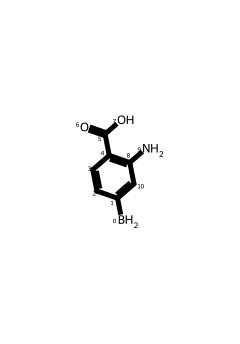 Bc1ccc(C(=O)O)c(N)c1